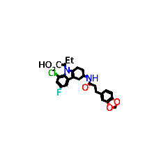 CCC(C(=O)O)n1c2c(c3cc(F)cc(Cl)c31)CC(NC(=O)CCc1ccc3c(c1)OCO3)CC2